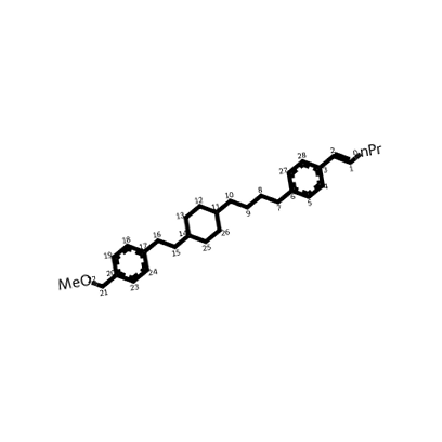 CCCC=Cc1ccc(CCCCC2CCC(CCc3ccc(COC)cc3)CC2)cc1